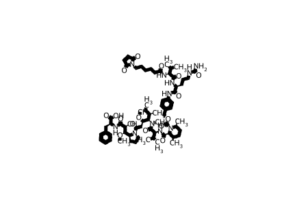 CC[C@H](C)[C@@H]([C@@H](CC(=O)N1CCC[C@H]1[C@H](OC)[C@@H](C)C(=O)N[C@@H](Cc1ccccc1)C(=O)O)OC)N(C)C(=O)[C@@H](NC(=O)[C@@H]1[C@H](C)CC[C@@H](C)N1C(=O)OCc1ccc(NC(=O)[C@H](CCCNC(N)=O)NC(=O)[C@H](NC(=O)CCCCCN2C(=O)C=CC2=O)C(C)C)cc1)C(C)C